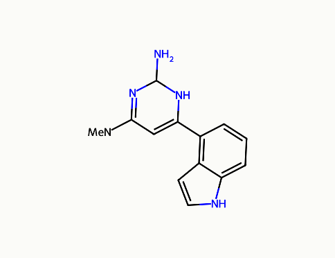 CNC1=NC(N)NC(c2cccc3[nH]ccc23)=C1